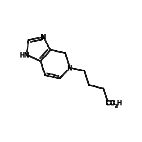 O=C(O)CCCN1C=Cc2[nH]cnc2C1